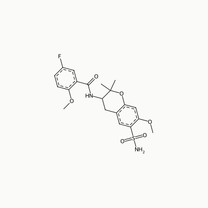 COc1ccc(F)cc1C(=O)NC1Cc2cc(S(N)(=O)=O)c(OC)cc2OC1(C)C